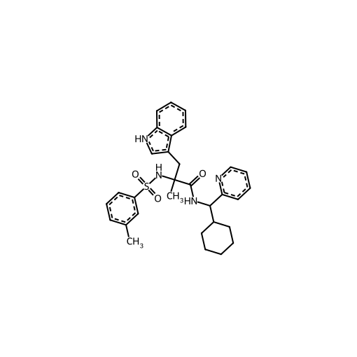 Cc1cccc(S(=O)(=O)NC(C)(Cc2c[nH]c3ccccc23)C(=O)NC(c2ccccn2)C2CCCCC2)c1